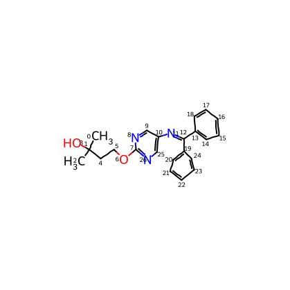 CC(C)(O)CCOc1ncc(N=C(c2ccccc2)c2ccccc2)cn1